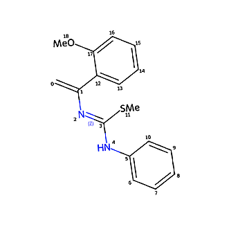 C=C(/N=C(/Nc1ccccc1)SC)c1ccccc1OC